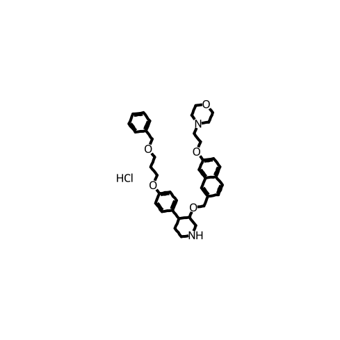 Cl.c1ccc(COCCCOc2ccc(C3CCNCC3OCc3ccc4ccc(OCCN5CCOCC5)cc4c3)cc2)cc1